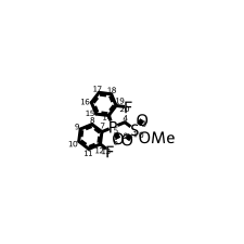 COS(=O)(=O)CP(=O)(c1ccccc1F)c1ccccc1F